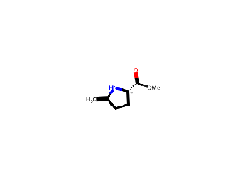 C=C1CC[C@@H](C(=O)OC)N1